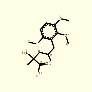 COc1ccc(OC)c(OC)c1CC(C)CC(C)(N)C(=O)O